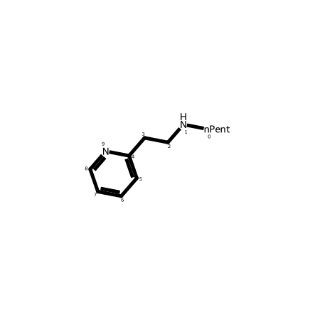 CCCCCNCCc1ccccn1